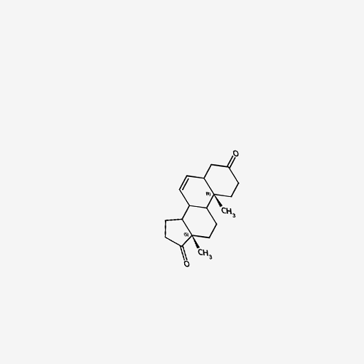 C[C@]12CCC(=O)CC1C=CC1C2CC[C@]2(C)C(=O)CCC12